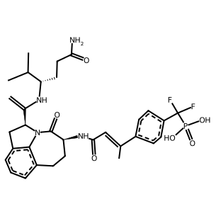 C=C(N[C@@H](CCC(N)=O)C(C)C)[C@@H]1Cc2cccc3c2N1C(=O)[C@@H](NC(=O)/C=C(\C)c1ccc(C(F)(F)P(=O)(O)O)cc1)CC3